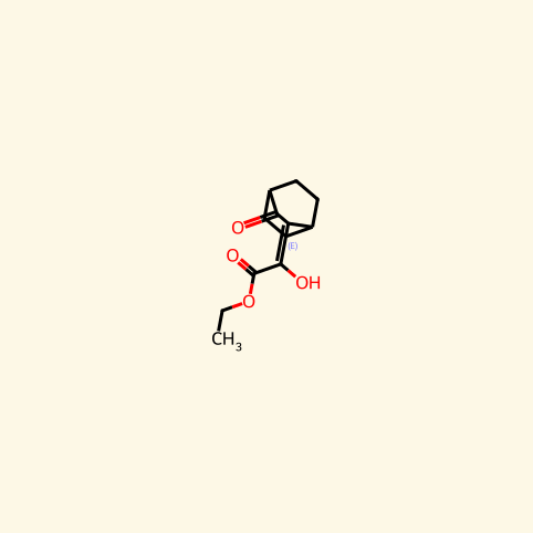 CCOC(=O)/C(O)=C1\C(=O)C2CCC1CC2